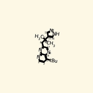 CC(C)(C)c1ccnc2nc(CC(C)(C)c3cn[nH]c3)cnc12